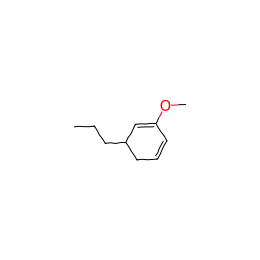 CCCC1C=C(OC)C=CC1